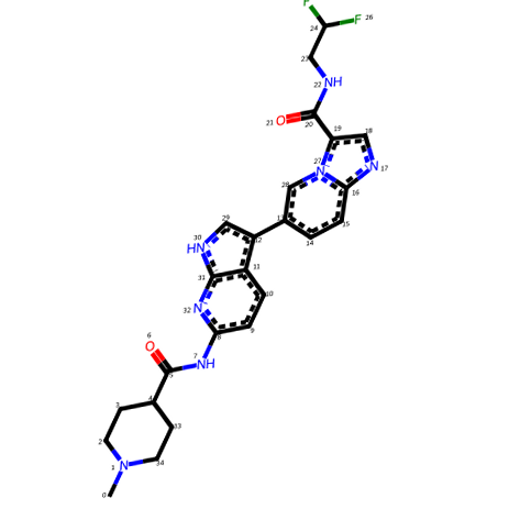 CN1CCC(C(=O)Nc2ccc3c(-c4ccc5ncc(C(=O)NCC(F)F)n5c4)c[nH]c3n2)CC1